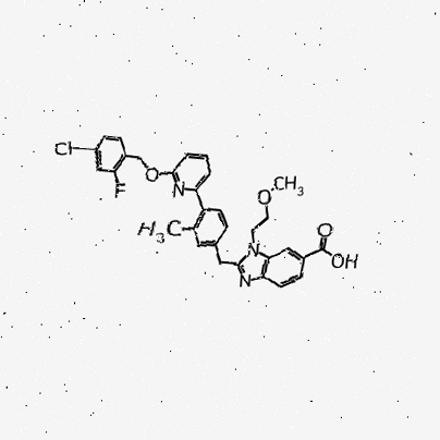 COCCn1c(Cc2ccc(-c3cccc(OCc4ccc(Cl)cc4F)n3)c(C)c2)nc2ccc(C(=O)O)cc21